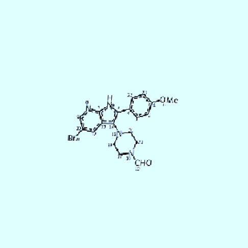 COc1ccc(-c2[nH]c3ncc(Br)cc3c2N2CCN(C=O)CC2)cc1